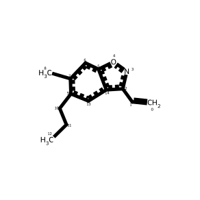 C=Cc1noc2cc(C)c(CCC)cc12